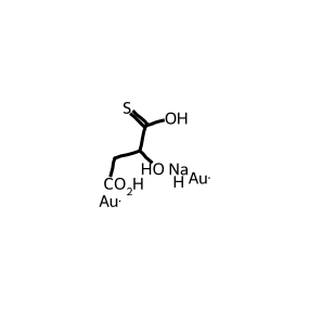 O=C(O)CC(O)C(O)=S.[Au].[Au].[NaH]